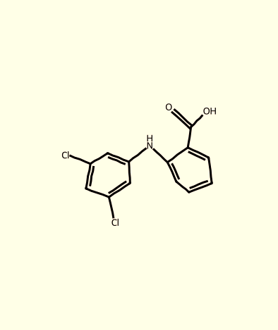 O=C(O)c1ccccc1Nc1cc(Cl)cc(Cl)c1